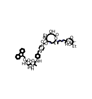 CCO[C@]1(C)CC[C@@H](O)CC(=O)O[C@H](/C(C)=C/C=C/C(C)(O)C[C@H]2O[C@@H]2[C@H](C)[C@@H](O)CC)[C@@H](C)/C=C/[C@@H]1OC(=O)N1CC[N+](C)(Cc2ccc(NC(=O)C(C)NC(=O)C(NC(=O)OCC3c4ccccc4-c4ccccc43)C(C)C)cc2)CC1